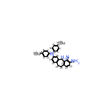 CC(C)(C)c1ccc(N(c2ccc(C(C)(C)C)cc2)c2ccc3c(c2)Cc2c(ccc(N)c2N)CC3)cc1